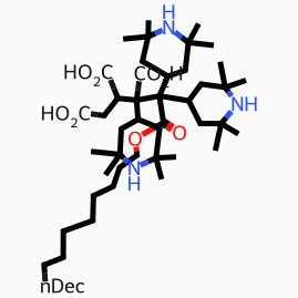 CCCCCCCCCCCCCCCCCCOC(=O)C(C1CC(C)(C)NC(C)(C)C1)(C1CC(C)(C)NC(C)(C)C1)C(C(=O)O)(C1CC(C)(C)NC(C)(C)C1)C(CC(=O)O)C(=O)O